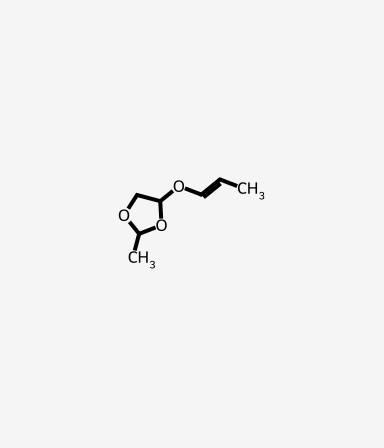 CC=COC1COC(C)O1